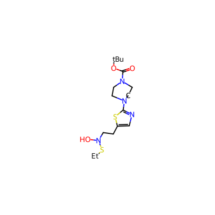 CCSN(O)CCc1cnc(N2CCN(C(=O)OC(C)(C)C)CC2)s1